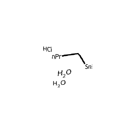 CCC[CH2][Sn].Cl.O.O